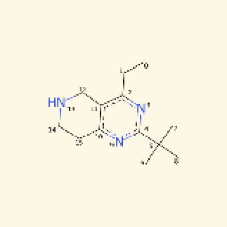 CCc1nc(C(C)(C)C)nc2c1CNCC2